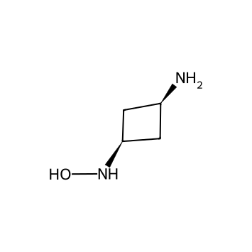 N[C@H]1C[C@@H](NO)C1